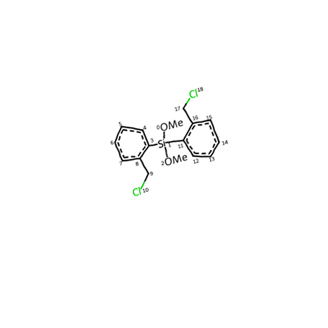 CO[Si](OC)(c1ccccc1CCl)c1ccccc1CCl